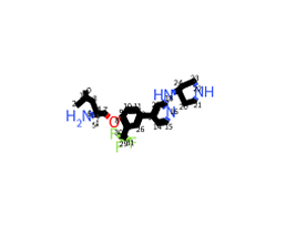 CC(C)C[C@](C)(N)COc1ccc(-c2ccnc(NC3CCNCC3)c2)cc1C(F)(F)F